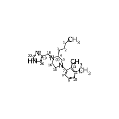 CCCC[C@H]1CN(c2cccc(C)c2C)CCN1Cc1c[nH]cn1